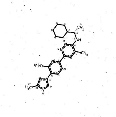 COc1nc(-c2cc(C)c(N[C@@H](C)C3CCCCC3)nn2)ccc1-n1cnc(C)c1